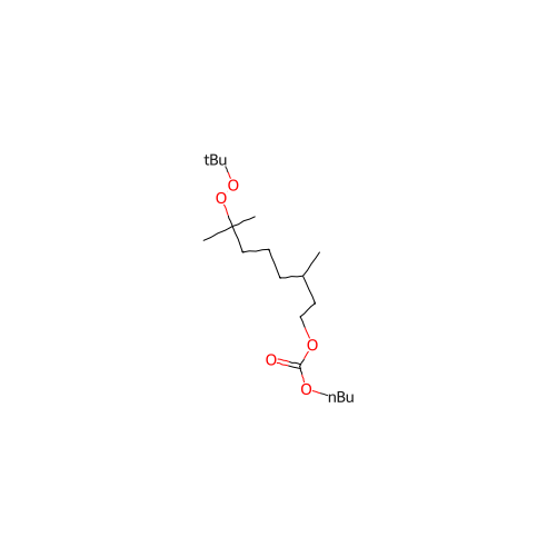 CCCCOC(=O)OCCC(C)CCCC(C)(C)OOC(C)(C)C